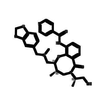 C[C@H]1CN([C@@H](C)CO)C(=O)c2cccc(NC(=O)c3ccncc3)c2O[C@@H]1CN(C)Cc1ccc2c(c1)OCO2